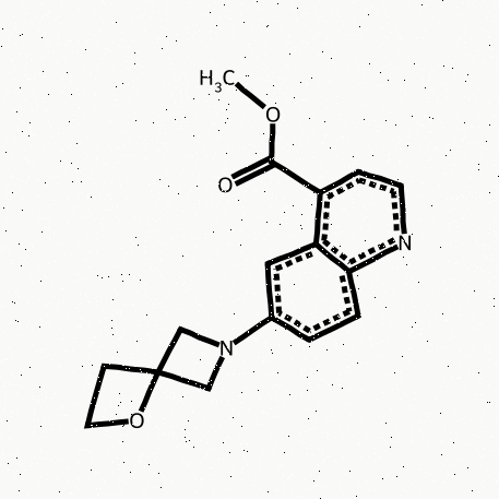 COC(=O)c1ccnc2ccc(N3CC4(CCO4)C3)cc12